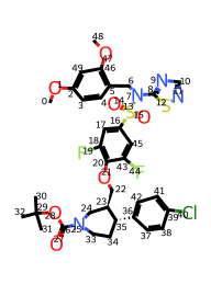 COc1ccc(CN(c2ncns2)S(=O)(=O)c2cc(F)c(OC[C@@H]3CN(C(=O)OC(C)(C)C)CC[C@H]3c3ccc(Cl)cc3)c(F)c2)c(OC)c1